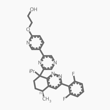 CC(C)C1(c2cncc(-c3ccc(OCCO)nc3)n2)CC[C@H](C)c2cc(-c3c(F)cccc3F)nnc21